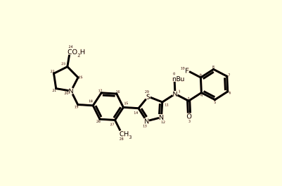 CCCCN(C(=O)c1ccccc1F)c1nnc(-c2ccc(CN3CCC(C(=O)O)C3)cc2C)s1